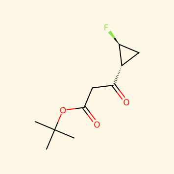 CC(C)(C)OC(=O)CC(=O)[C@H]1C[C@@H]1F